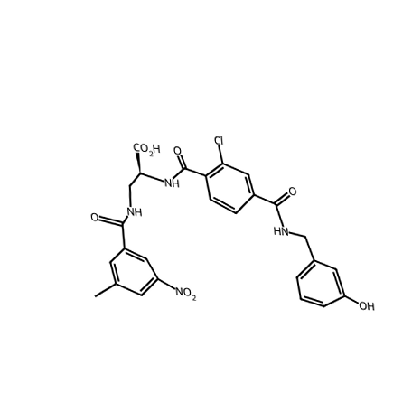 Cc1cc(C(=O)NC[C@H](NC(=O)c2ccc(C(=O)NCc3cccc(O)c3)cc2Cl)C(=O)O)cc([N+](=O)[O-])c1